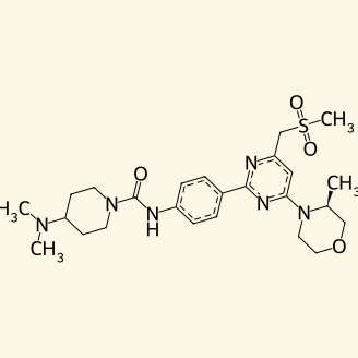 C[C@H]1COCCN1c1cc(CS(C)(=O)=O)nc(-c2ccc(NC(=O)N3CCC(N(C)C)CC3)cc2)n1